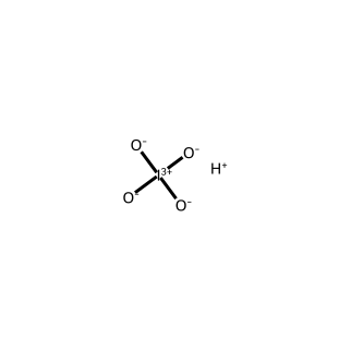 [H+].[O-][I+3]([O-])([O-])[O-]